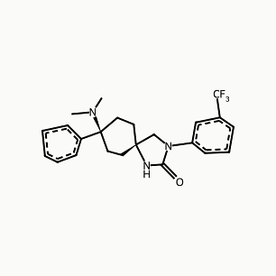 CN(C)[C@]1(c2ccccc2)CC[C@@]2(CC1)CN(c1cccc(C(F)(F)F)c1)C(=O)N2